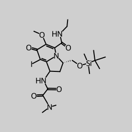 CCNC(=O)c1c(OC)c(=O)c(I)c2n1[C@H](CO[Si](C)(C)C(C)(C)C)CC2NC(=O)C(=O)N(C)C